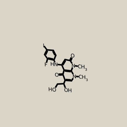 Cn1cc(C(O)CO)c(=O)c2c(Nc3ccc(I)cc3F)cc(=O)n(C)c21